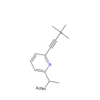 CC(=O)NC(C)c1cccc(C#C[Si](C)(C)C)n1